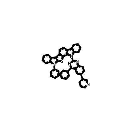 c1ccc(-c2nc(-n3c4ccccc4c4ccc5c(sc6c5c5ccccc5n6-c5ccccc5)c43)nc3ccc(-c4cccnc4)cc23)cc1